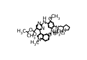 COc1cc(N(C)CC2CCCN2C)c([N+](=O)[O-])cc1Nc1ncc(C(=O)OC(C)C)c(-c2cn(C)c3ccccc23)n1